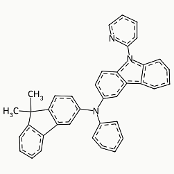 CC1(C)c2ccccc2-c2cc(N(c3ccccc3)c3ccc4c(c3)c3ccccc3n4-c3ccccn3)ccc21